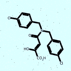 O=C(O)C(O)=CC(=O)N(Cc1ccc(Cl)cc1)Cc1ccc(Cl)cc1